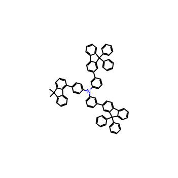 CC1(C)c2ccccc2-c2c(-c3ccc(N(c4cccc(-c5ccc6c(c5)C(c5ccccc5)(c5ccccc5)c5ccccc5-6)c4)c4cccc(-c5ccc6c(c5)C(c5ccccc5)(c5ccccc5)c5ccccc5-6)c4)cc3)cccc21